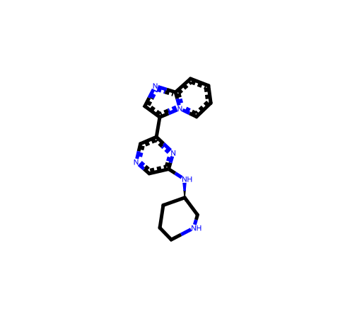 c1ccn2c(-c3cncc(N[C@@H]4CCCNC4)n3)cnc2c1